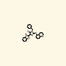 CN1/C(=C2/S/C(=N\c3cccc4ncccc34)N(Cc3ccccc3)C2=O)Oc2ccccc21